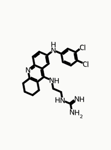 N=C(N)NCCNc1c2c(nc3ccc(Nc4ccc(Cl)c(Cl)c4)cc13)CCCC2